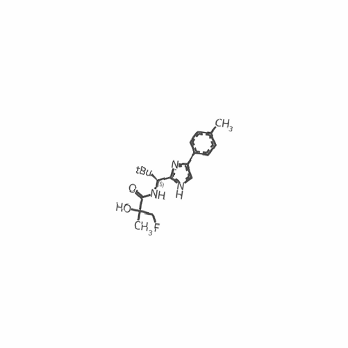 Cc1ccc(-c2c[nH]c([C@@H](NC(=O)C(C)(O)CF)C(C)(C)C)n2)cc1